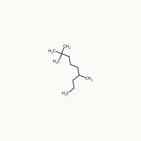 [CH2]C(C)(C)CCCC(C)CCC